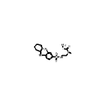 CN(CCNS(=O)(=O)c1ccc(NC2CCCCC2)c([N+](=O)[O-])c1)C(=O)OC(C)(C)C